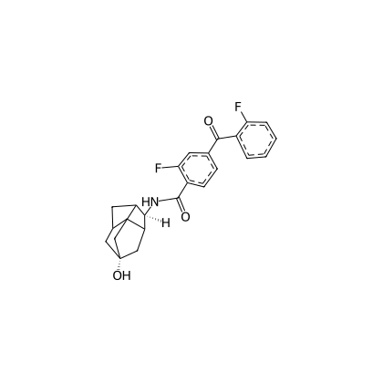 O=C(N[C@H]1C2CC3CC1C[C@](O)(C3)C2)c1ccc(C(=O)c2ccccc2F)cc1F